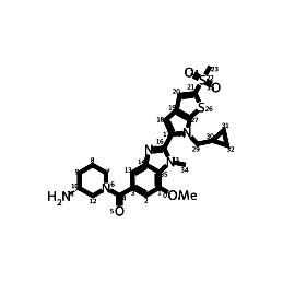 COc1cc(C(=O)N2CCC[C@@H](N)C2)cc2nc(-c3cc4cc(S(C)(=O)=O)sc4n3CC3CC3)n(C)c12